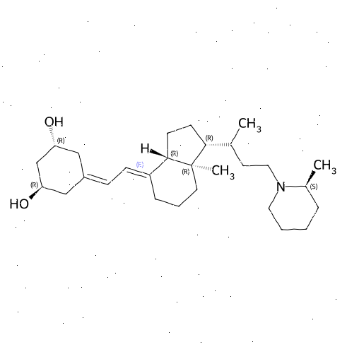 CC(CCN1CCCC[C@@H]1C)[C@H]1CC[C@H]2/C(=C/C=C3C[C@@H](O)C[C@H](O)C3)CCC[C@]12C